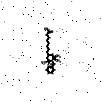 CC1(C)CC(CCCCCCCC(=O)O)CC(C)(C)N1Cc1ccccc1